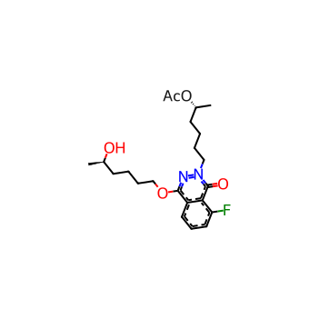 CC(=O)O[C@H](C)CCCCn1nc(OCCCC[C@@H](C)O)c2cccc(F)c2c1=O